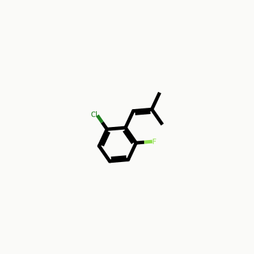 CC(C)=Cc1c(F)cccc1Cl